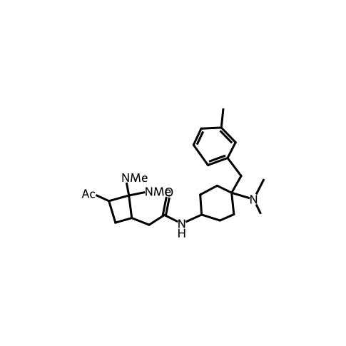 CNC1(NC)C(CC(=O)NC2CCC(Cc3cccc(C)c3)(N(C)C)CC2)CC1C(C)=O